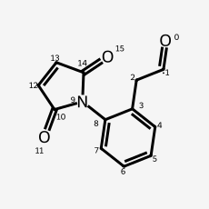 O=[C]Cc1ccccc1N1C(=O)C=CC1=O